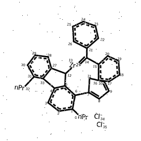 CCCc1ccc2c(c1C1=CC=CC1)[CH]([Zr+2]=[C](c1ccccc1)c1ccccc1)c1cccc(CCC)c1-2.[Cl-].[Cl-]